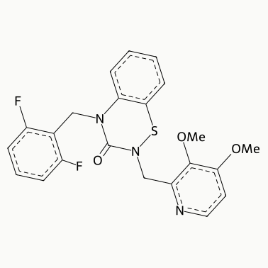 COc1ccnc(CN2Sc3ccccc3N(Cc3c(F)cccc3F)C2=O)c1OC